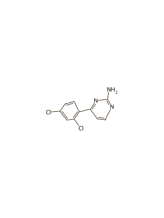 Nc1nccc(-c2ccc(Cl)cc2Cl)n1